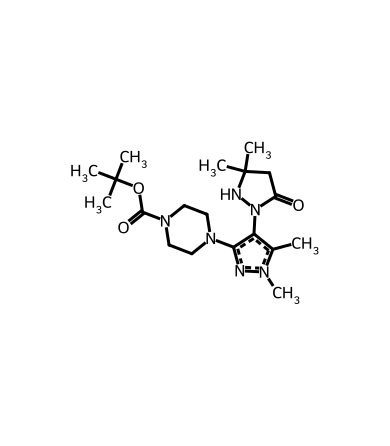 Cc1c(N2NC(C)(C)CC2=O)c(N2CCN(C(=O)OC(C)(C)C)CC2)nn1C